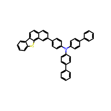 c1ccc(-c2ccc(N(c3ccc(-c4ccccc4)cc3)c3ccc(-c4ccc5ccc6c7ccccc7sc6c5c4)cc3)cc2)cc1